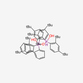 CC(C)(C)c1ccc([PH](O)(OP(O)(c2ccccc2-c2ccccc2)(c2ccc(C(C)(C)C)cc2C(C)(C)C)c2ccc(C(C)(C)C)cc2C(C)(C)C)c2ccc(C(C)(C)C)cc2C(C)(C)C)c(C(C)(C)C)c1